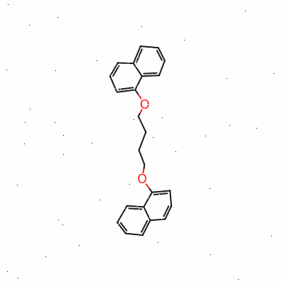 c1ccc2c(OCCCCOc3cccc4ccccc34)cccc2c1